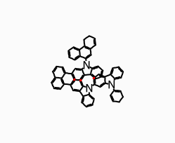 C1=CC(n2c3ccccc3c3ccc(-n4c5ccccc5c5cc(-c6cccc7cccc(-c8ccc9c%10ccccc%10n(-c%10cc%11c(c%12ccccc%10%12)CCC=C%11)c9c8)c67)ccc54)cc32)=CCC1